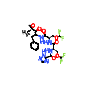 C[C@]1(C(=O)[C@H](Cc2ccccc2)NC(=O)[C@H](COC(F)F)NC(=O)[C@H](COC(F)F)NC(=O)c2ncn[nH]2)CO1